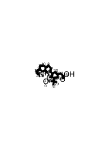 COCOc1c(-c2ccc3ccc4cccnc4c3n2)cc(CC(=O)O)cc1C(C)(C)C